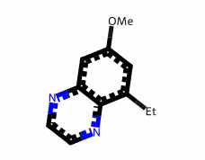 CCc1cc(OC)cc2nccnc12